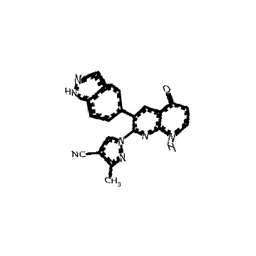 Cc1nn(-c2nc3[nH]ccc(=O)c3cc2-c2ccc3[nH]ncc3c2)cc1C#N